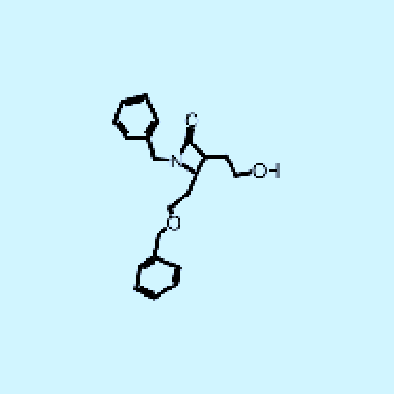 O=C1C(CCO)C(CCOCc2ccccc2)N1Cc1ccccc1